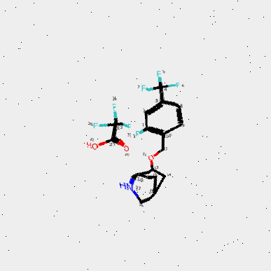 Fc1cc(C(F)(F)F)ccc1COC1CC2CNC1C2.O=C(O)C(F)(F)F